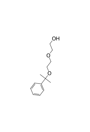 CC(C)(OCCOCCO)c1ccccc1